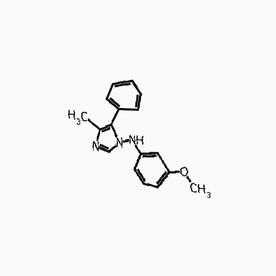 COc1cccc(Nn2cnc(C)c2-c2ccccc2)c1